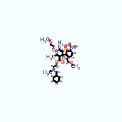 COCCON1C(C)=C([PH2]=O)C(OCCOC)(c2cccc([N+](=O)[O-])c2)C(C(=O)OCCN(C)Cc2ccccc2)=C1C